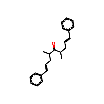 CC(CC=Cc1ccccc1)C(=O)C(C)CC=Cc1ccccc1